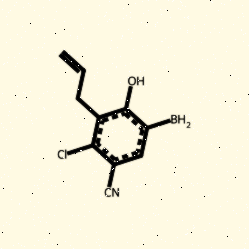 Bc1cc(C#N)c(Cl)c(CC=C)c1O